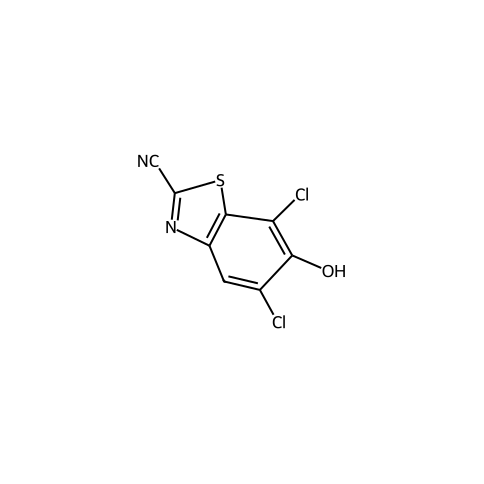 N#Cc1nc2cc(Cl)c(O)c(Cl)c2s1